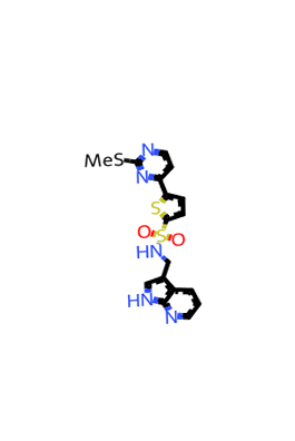 CSc1nccc(-c2ccc(S(=O)(=O)NCc3c[nH]c4ncccc34)s2)n1